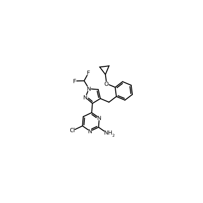 Nc1nc(Cl)cc(-c2nn(C(F)F)cc2Cc2ccccc2OC2CC2)n1